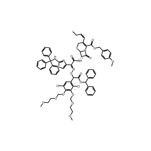 COCCOCOc1c(Cl)cc(C(ON=C(C(=O)N[C@H]2C(=O)N3C(C(=O)OCc4ccc(OC)cc4)=C(/C=C\CI)CSC23)c2csc(NC(c3ccccc3)(c3ccccc3)c3ccccc3)n2)C(=O)OC(c2ccccc2)c2ccccc2)c(Cl)c1OCOCCOC